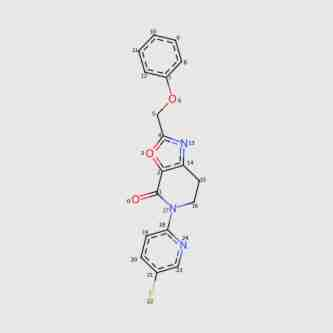 O=C1c2oc(COc3ccccc3)nc2CCN1c1ccc(F)cn1